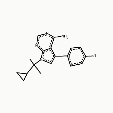 CC(C)(C1CC1)n1cc(-c2ccc(Cl)cc2)c2c(N)ncnc21